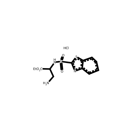 CCOC(=O)C(CN)NS(=O)(=O)c1nc2ccccc2s1.Cl